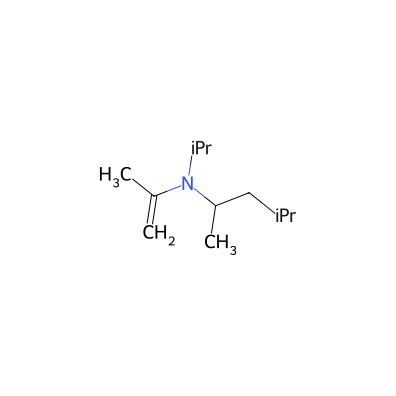 C=C(C)N(C(C)C)C(C)CC(C)C